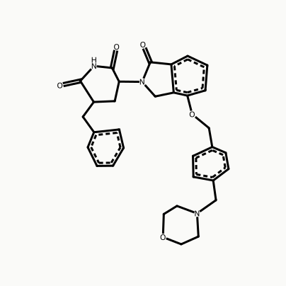 O=C1NC(=O)C(N2Cc3c(OCc4ccc(CN5CCOCC5)cc4)cccc3C2=O)CC1Cc1ccccc1